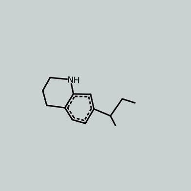 CCC(C)c1ccc2c(c1)NCCC2